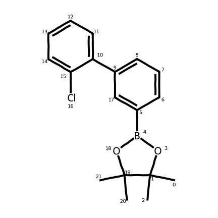 CC1(C)OB(c2cccc(-c3ccccc3Cl)c2)OC1(C)C